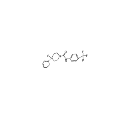 O=C(Nc1ccc(C(F)(F)F)cc1)N1CCC(F)(c2ccccc2)CC1